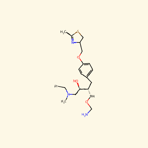 CC1=NC(COc2ccc(C[C@H](BOCN)[C@H](O)CN(C)CC(C)C)cc2)CS1